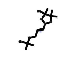 CC(C)C1(C)OB(/C=C/CO[Si](C)(C)C(C)(C)C)OC1(C)C